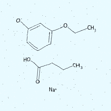 CCCC(=O)O.CCOc1cccc([O-])c1.[Na+]